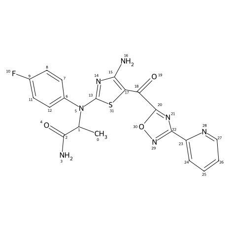 CC(C(N)=O)N(c1ccc(F)cc1)c1nc(N)c(C(=O)c2nc(-c3ccccn3)no2)s1